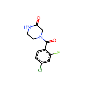 O=C1CN(C(=O)c2ccc(Cl)cc2F)CCN1